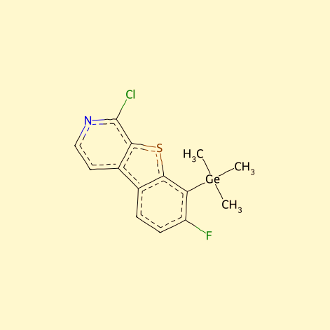 [CH3][Ge]([CH3])([CH3])[c]1c(F)ccc2c1sc1c(Cl)nccc12